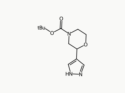 CC(C)(C)OC(=O)N1CCOC(c2cn[nH]c2)C1